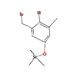 Cc1cc(O[Si](C)(C)C)cc(CBr)c1Br